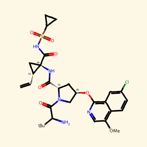 C=C[C@@H]1C[C@]1(NC(=O)[C@@H]1C[C@@H](Oc2ncc(OC)c3ccc(Cl)cc23)CN1C(=O)C(N)C(C)(C)C)C(=O)NS(=O)(=O)C1CC1